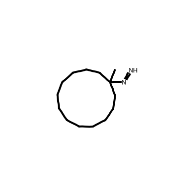 CC1(N=N)CCCCCCCCCCCC1